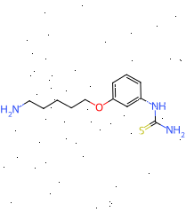 NCCCCCOc1cccc(NC(N)=S)c1